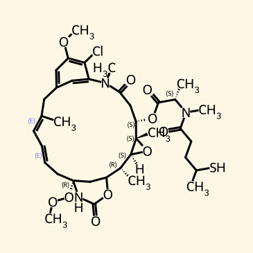 COO[C@]12C/C=C/C=C(\C)Cc3cc(OC)c(Cl)c(c3)N(C)C(=O)C[C@H](OC(=O)[C@H](C)N(C)C(=O)CCC(C)S)[C@]3(C)O[C@H]3[C@H](C)C(C1)OC(=O)N2